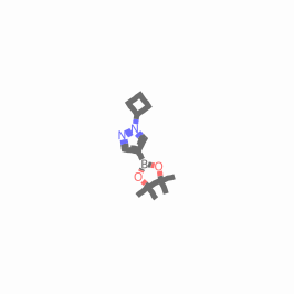 CC1(C)OB(c2cnn(C3CCC3)c2)OC1(C)C